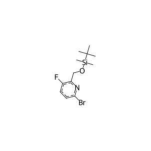 CC(C)(C)[Si](C)(C)OCc1nc(Br)ccc1F